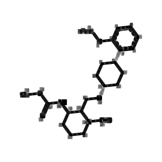 CCCCCOc1ccccc1[C@H]1CC[C@@H](OCC2C(NC(=O)OC(C)(C)C)CCCN2C=O)CC1